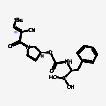 CC(C)(C)/C=C(\C#N)C(=O)N1CC[C@H](OC(=O)NC(Cc2ccccc2)B(O)O)C1